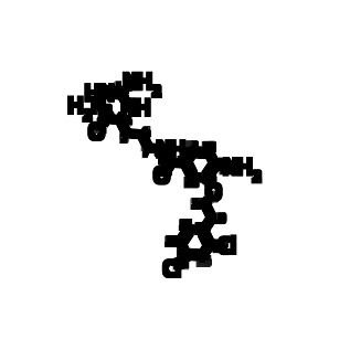 N=C(N)NC(CCCNC(=O)c1ccc(N)c(OCCc2ccc(Cl)cc2Cl)c1)C(N)=O